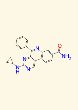 NC(=O)c1ccc2c(c1)nc(-c1ccccc1)c1nc(NC3CC3)ncc12